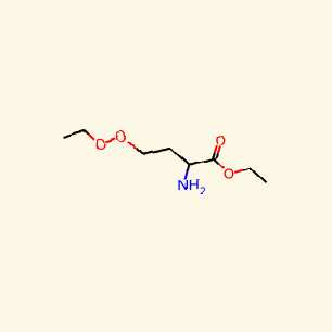 CCOOCCC(N)C(=O)OCC